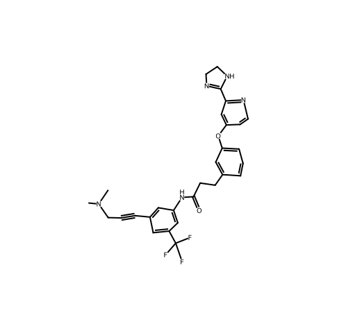 CN(C)CC#Cc1cc(NC(=O)CCc2cccc(Oc3ccnc(C4=NCCN4)c3)c2)cc(C(F)(F)F)c1